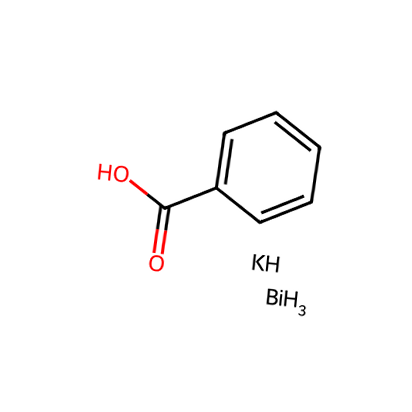 O=C(O)c1ccccc1.[BiH3].[KH]